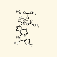 C#C[C@H]1O[C@@H](n2cnc3c(NC(C)c4ccc(Cl)s4)ncnc32)[C@H](OC(C)=O)[C@@H]1OC(C)=O